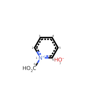 O=C(O)[n+]1ccccc1.[OH-]